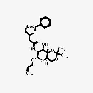 C=CCO[C@H]1O[C@@H]2COC(C)(C)O[C@H]2[C@H](O)[C@H]1NC(=O)C[C@@H](CCCCCCCCCCC)OCc1ccccc1